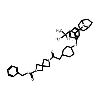 CC(C)(C)OC(=O)N1CC2CCC(C1)N2c1cccc(OC2CCC(CC(=O)N3CC4(C3)CN(C(=O)OCc3ccccc3)C4)CC2)c1